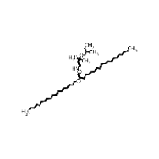 CCCCCCCCCCCCCCCCCCOC(CCCCCCCCCCCCCCCCCC)CONCCC(C)(C)OCC(C)CC